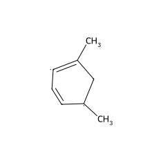 C[C]1C=C[C]=C(C)C1